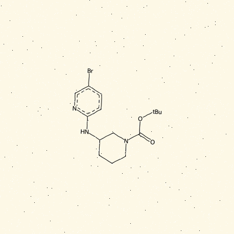 CC(C)(C)OC(=O)N1CCCC(Nc2ccc(Br)cn2)C1